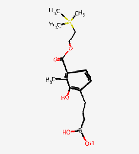 Cc1c(C(=O)OCCS(C)(C)C)ccc(CCCB(O)O)c1O